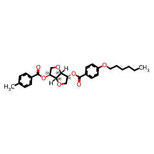 CCCCCCOc1ccc(C(=O)O[C@@H]2CO[C@H]3[C@@H]2OC[C@@H]3OC(=O)c2ccc(C)cc2)cc1